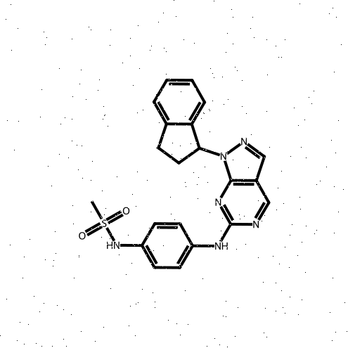 CS(=O)(=O)Nc1ccc(Nc2ncc3cnn(C4CCc5ccccc54)c3n2)cc1